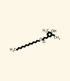 CCCCCCCCCCCCCCOC(=O)CCc1cc(C)c(O)c(CC)c1